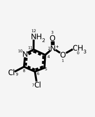 CO[N+](=O)c1cc(Cl)c(Cl)nc1N